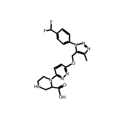 Cc1nnn(-c2ccc(C(F)F)cc2)c1COc1ccc(N2CCNCC2C(=O)O)nn1